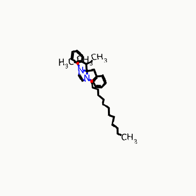 CCCCCCCCCCCCCN1C=CN(C(C)C)C1(Cc1ccccc1)C(CC)c1ccccc1